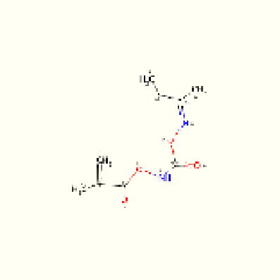 C=C(C)C(=O)ONC(=O)ON=C(C)CC